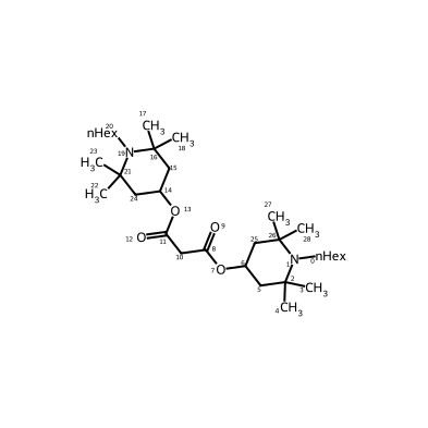 CCCCCCN1C(C)(C)CC(OC(=O)CC(=O)OC2CC(C)(C)N(CCCCCC)C(C)(C)C2)CC1(C)C